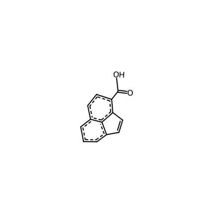 O=C(O)c1ccc2cccc3c2c1C=C3